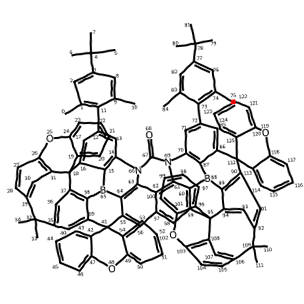 Cc1cc(C(C)(C)C)cc(C)c1-c1cc2c3c(c1)C14c5ccccc5Oc5ccc(cc51)C(C)(C)c1cc4c4c(c1)C1(c5ccccc5Oc5ccccc51)c1cc5cc6c7c8c5c(c1B34)N2C(=O)N8c1cc(-c2c(C)cc(C(C)(C)C)cc2C)cc2c1B7c1c(cc3cc1C61c4ccccc4Oc4ccc(cc41)C3(C)C)C21c2ccccc2Oc2ccccc21